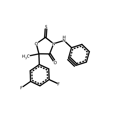 CC1(c2cc(F)cc(F)c2)OC(=S)N(Nc2c#cccc2)C1=O